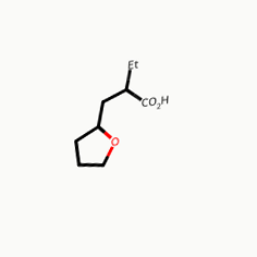 CCC(CC1CCCO1)C(=O)O